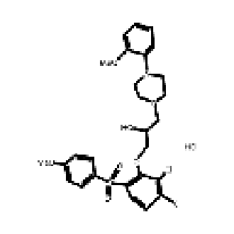 COc1ccc(S(=O)(=O)c2ccc(Cl)c(Cl)c2OCC(O)CN2CCN(c3ccccc3OC)CC2)cc1.Cl